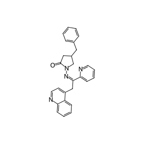 O=C1CC(Cc2ccccc2)CN1N=C(Cc1ccnc2ccccc12)c1ccccn1